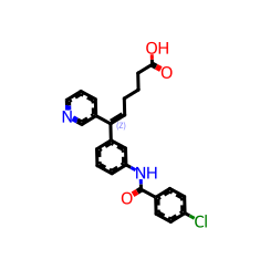 O=C(O)CCC/C=C(\c1cccnc1)c1cccc(NC(=O)c2ccc(Cl)cc2)c1